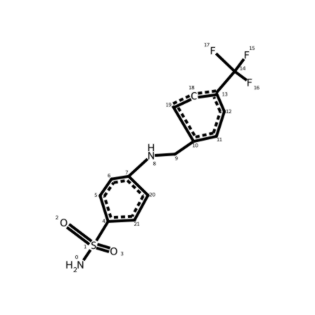 NS(=O)(=O)c1ccc(NCc2ccc(C(F)(F)F)cc2)cc1